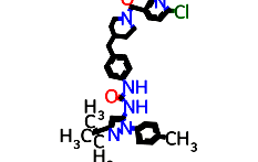 Cc1ccc(-n2nc(C(C)(C)C)cc2NC(=O)Nc2ccc(CC3CCN(C(=O)c4ccc(Cl)nc4)CC3)cc2)cc1